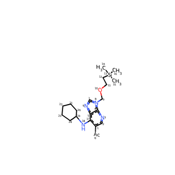 CC(=O)c1cnc2c(ncn2COCC[Si](C)(C)C)c1NC1CCCCC1